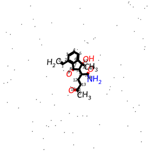 C=Cc1cccc2c1C(=O)C(C(CCC(C)=O)C(N)=O)C2(C)O